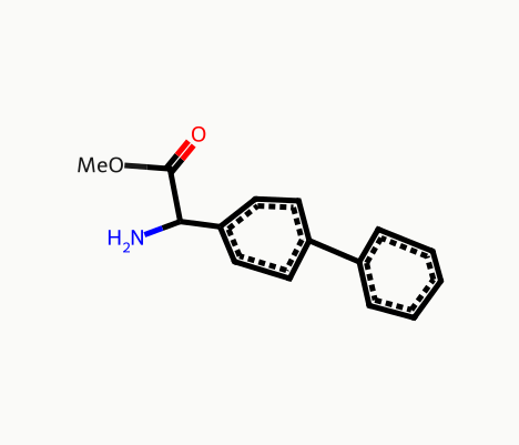 COC(=O)C(N)c1ccc(-c2ccccc2)cc1